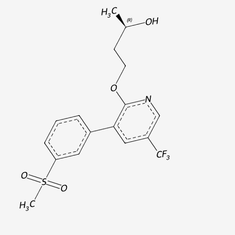 C[C@@H](O)CCOc1ncc(C(F)(F)F)cc1-c1cccc(S(C)(=O)=O)c1